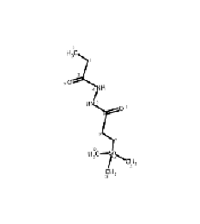 CCC(=O)NNC(=O)C[CH2][Sn]([CH3])([CH3])[CH3]